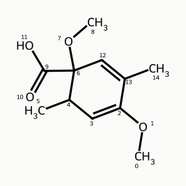 COC1=CC(C)C(OC)(C(=O)O)C=C1C